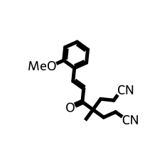 COc1ccccc1C=CC(=O)C(C)(CCC#N)CCC#N